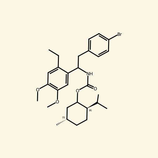 CCc1cc(OC)c(OC)cc1C(Cc1ccc(Br)cc1)NC(=O)OC1C[C@@H](C)CC[C@@H]1C(C)C